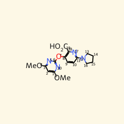 COc1cc(OC)nc(Oc2ccc(N3CCCC3)nc2C(=O)O)n1